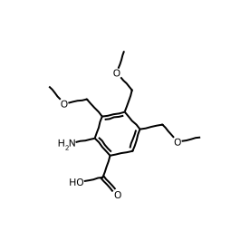 COCc1cc(C(=O)O)c(N)c(COC)c1COC